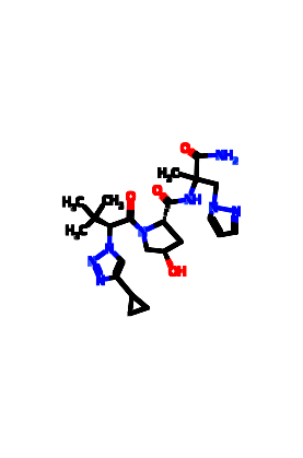 CC(Cn1cccn1)(NC(=O)[C@@H]1C[C@@H](O)CN1C(=O)[C@@H](n1cc(C2CC2)nn1)C(C)(C)C)C(N)=O